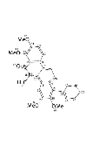 COc1cc2c(ccc3c4ccc(OC)c(OC)c4c(=O)n(C)c23)c(C2=CCCCC2)c1OC